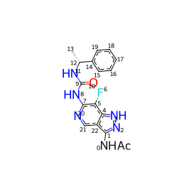 CC(=O)Nc1n[nH]c2c(F)c(NC(=O)N[C@H](C)c3ccccc3)ncc12